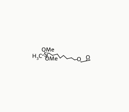 CO[Si](C)(CCCCCCCCOCC1CO1)OC